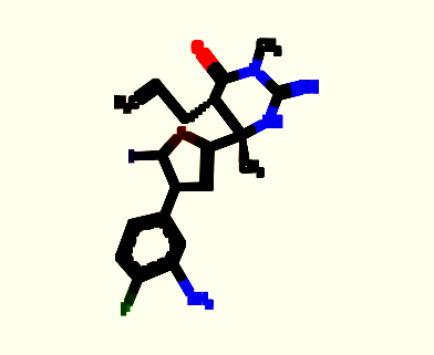 C=CC[C@@H]1C(=O)N(C)C(=N)N[C@]1(C)C1=CC(c2ccc(F)c(N)c2)C(I)S1